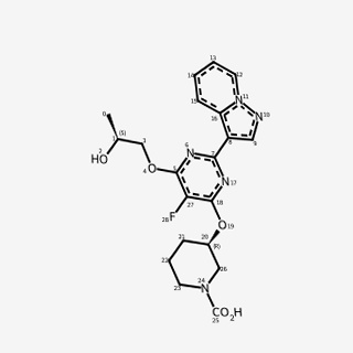 C[C@H](O)COc1nc(-c2cnn3ccccc23)nc(O[C@@H]2CCCN(C(=O)O)C2)c1F